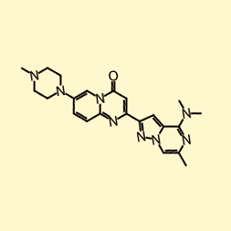 Cc1cn2nc(-c3cc(=O)n4cc(N5CCN(C)CC5)ccc4n3)cc2c(N(C)C)n1